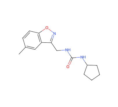 Cc1ccc2onc(CNC(=O)NC3CCCC3)c2c1